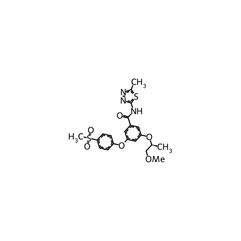 COC[C@H](C)Oc1cc(Oc2ccc(S(C)(=O)=O)cc2)cc(C(=O)Nc2nnc(C)s2)c1